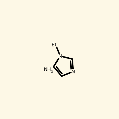 CCn1ccnc1.N